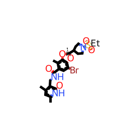 CCS(=O)(=O)N1CCC([C@@]2(C)Oc3c(Br)cc(C(=O)NCc4c(C)cc(C)[nH]c4=O)c(C)c3O2)CC1